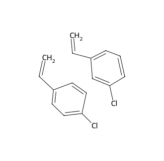 C=Cc1ccc(Cl)cc1.C=Cc1cccc(Cl)c1